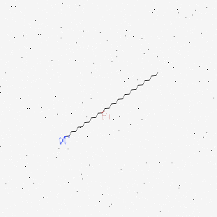 CCCCCCCCCCCCCCCCCCCCCCCCCCCCC[N+](C)(C)C.[Br-]